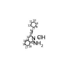 Cl.NC1=NC(C#Cc2ccccc2)Cc2ccccc21